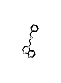 [c]1cnc2c(c1)N(CCOCc1ccccc1)CCO2